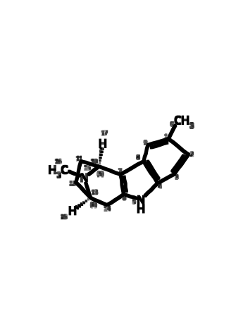 Cc1ccc2[nH]c3c(c2c1)[C@@H]1CC[C@H](C3)N1C